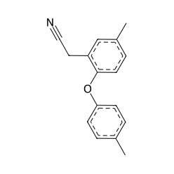 Cc1ccc(Oc2ccc(C)cc2CC#N)cc1